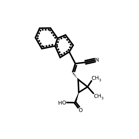 CC1(C)[C@@H](C=C(C#N)c2ccc3ccccc3c2)[C@@H]1C(=O)O